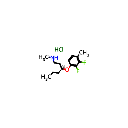 CCC[C@@H](CCNC)Oc1ccc(C)c(F)c1F.Cl